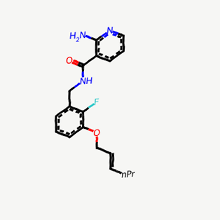 CCCC=CCOc1cccc(CNC(=O)c2cccnc2N)c1F